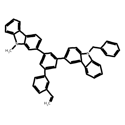 C=Cc1cccc(-c2cc(-c3ccc4c(c3)c3ccccc3n4Cc3ccccc3)cc(-c3ccc4c5ccccc5n(C)c4c3)c2)c1